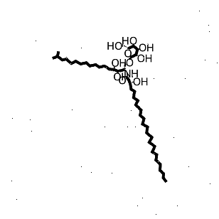 CCCCCCCCCCCCCCCCCCCCCC[C@@H](O)C(=O)N[C@@H](CO[C@H]1O[C@H](CO)[C@H](O)[C@H](O)[C@H]1O)[C@H](O)[C@H](O)CCCCCCCCCCCC(C)C